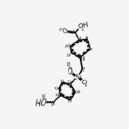 O=C(O)c1ccc(CS(=O)(=O)c2ccc(CO)cc2)cc1